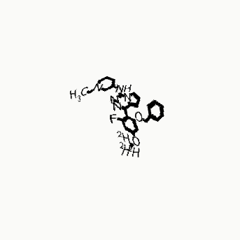 [2H]C([2H])([2H])Oc1cc(F)c(-c2nnc(N[C@@H]3CCCN(CC)C3)n3cccc23)c(OCc2ccccc2)c1